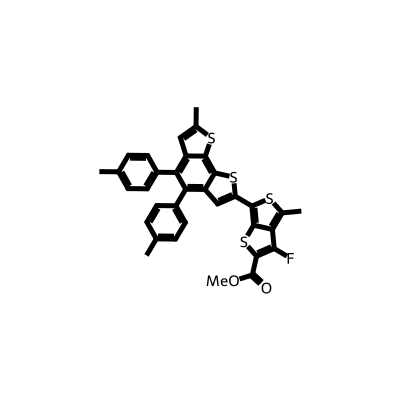 COC(=O)c1sc2c(-c3cc4c(-c5ccc(C)cc5)c(-c5ccc(C)cc5)c5cc(C)sc5c4s3)sc(C)c2c1F